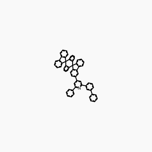 c1ccc(-c2cccc(-c3cc(-c4ccc5c(c4)-c4ccccc4C54c5ccccc5C5(c6ccccc6-c6ccccc65)c5ccccc54)cc(-c4ccccc4)n3)c2)cc1